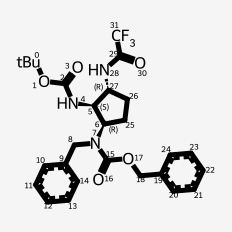 CC(C)(C)OC(=O)N[C@@H]1[C@H](N(Cc2ccccc2)C(=O)OCc2ccccc2)CC[C@H]1NC(=O)C(F)(F)F